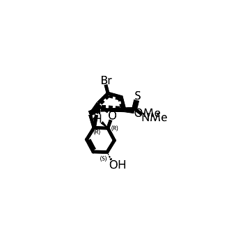 CNC(=S)N1CC[C@]23C=C[C@@H](O)C[C@H]2Oc2c(OC)cc(Br)c(c23)C1